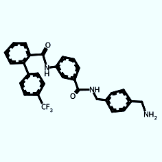 NCc1ccc(CNC(=O)c2cccc(NC(=O)c3ccccc3-c3ccc(C(F)(F)F)cc3)c2)cc1